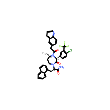 C[C@@H]1CCN([C@H](Cc2cccc3ccccc23)C(N)=O)C(=O)[C@H](c2ccc(Cl)c(C(F)(F)F)c2)N1C(=O)Cc1ccc2ncccc2c1